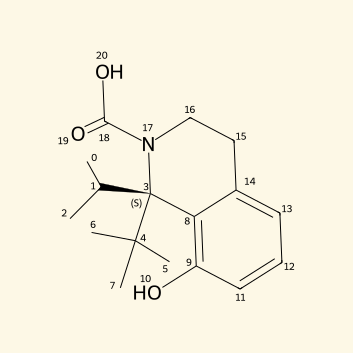 CC(C)[C@]1(C(C)(C)C)c2c(O)cccc2CCN1C(=O)O